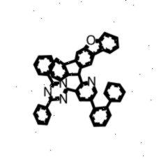 c1ccc(-c2nc(-c3ccccc3)nc(-c3cc(-c4ccccc4-c4ccccc4)cnc3C3c4ccccc4-c4cc5oc6ccccc6c5cc43)n2)cc1